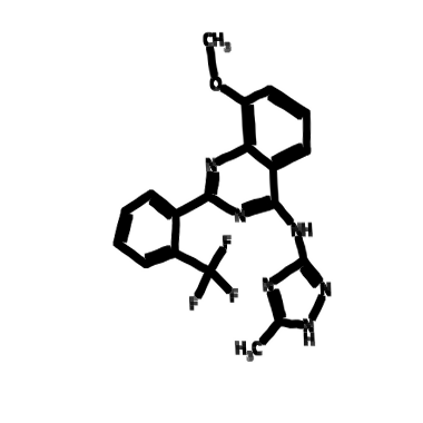 COc1cccc2c(Nc3n[nH]c(C)n3)nc(-c3ccccc3C(F)(F)F)nc12